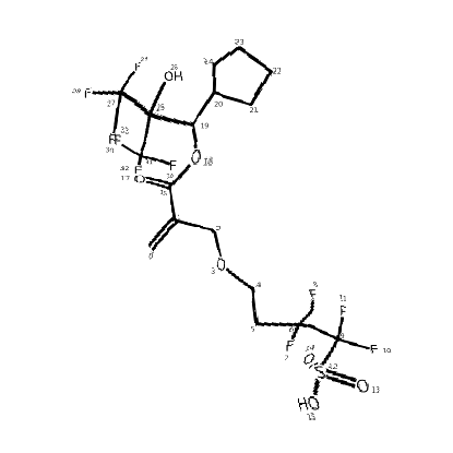 C=C(COCCC(F)(F)C(F)(F)S(=O)(=O)O)C(=O)OC(C1CCCC1)C(O)(C(F)(F)F)C(F)(F)F